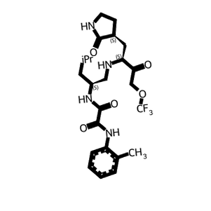 Cc1ccccc1NC(=O)C(=O)N[C@H](CN[C@@H](C[C@@H]1CCNC1=O)C(=O)COC(F)(F)F)CC(C)C